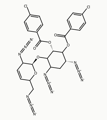 [N-]=[N+]=NCC1C=CC(N=[N+]=[N-])[C@@H](OC2C(N=[N+]=[N-])C[C@@H](N=[N+]=[N-])C(OC(=O)c3ccc(Cl)cc3)[C@H]2OC(=O)c2ccc(Cl)cc2)O1